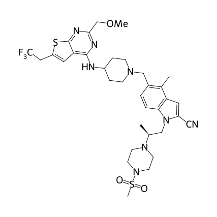 COCc1nc(NC2CCN(Cc3ccc4c(cc(C#N)n4C[C@H](C)N4CCN(S(C)(=O)=O)CC4)c3C)CC2)c2cc(CC(F)(F)F)sc2n1